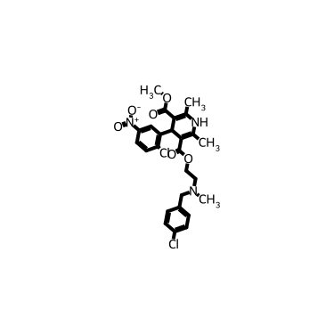 COC(=O)C1=C(C)NC(C)=C(C(=O)OCCN(C)Cc2ccc(Cl)cc2)C1c1cc([N+](=O)[O-])ccc1Cl